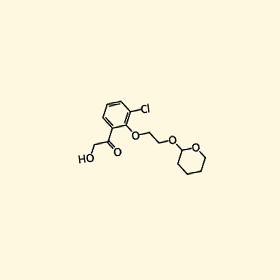 O=C(CO)c1cccc(Cl)c1OCCOC1CCCCO1